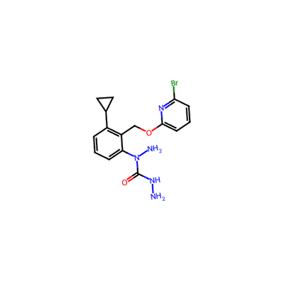 NNC(=O)N(N)c1cccc(C2CC2)c1COc1cccc(Br)n1